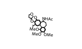 COc1cc2c(c(OC)c1OC)-c1cc(I)c(O[C@H]3CCOC3)c(=O)cc1[C@@H](NC(C)=O)CC2